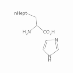 CCCCCCCCC(N)C(=O)O.c1c[nH]cn1